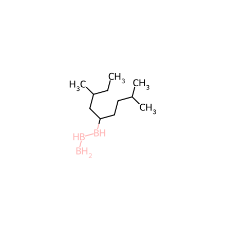 BBBC(CCC(C)C)CC(C)CC